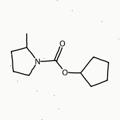 CC1CCCN1C(=O)OC1CCCC1